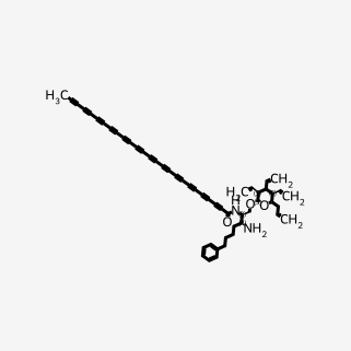 C=CCC1O[C@H](OC[C@H](NC(=O)C#CC#CC#CC#CC#CC#CC#CC#CC#CC#CC#CC#CC)[C@H](N)CCCCc2ccccc2)[C@@H](C=C)C(C=C)[C@H]1C=C